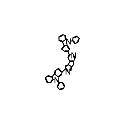 c1ccc(-n2c3ccccc3c3ccc(-c4cc5c(cn4)Cc4cnc(-c6ccc7c8ccccc8n(-c8ccccc8)c7c6)cc4-5)cc32)cc1